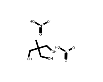 CC(CO)(CO)CO.O=[N+]([O-])O.O=[N+]([O-])O